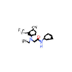 CC(C)CN(CC(=O)Nc1ccccc1)c1ccc(C#N)c(C(F)(F)F)c1